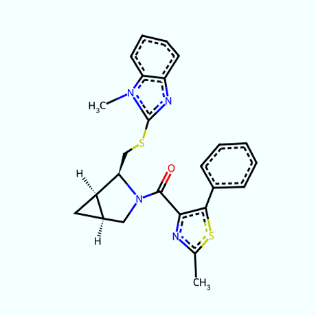 Cc1nc(C(=O)N2C[C@H]3C[C@H]3[C@H]2CSc2nc3ccccc3n2C)c(-c2ccccc2)s1